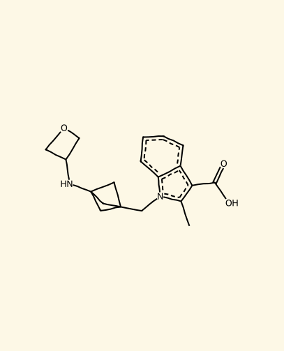 Cc1c(C(=O)O)c2ccccc2n1CC12CC(NC3COC3)(C1)C2